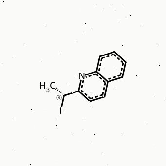 C[C@@H](I)c1ccc2ccccc2n1